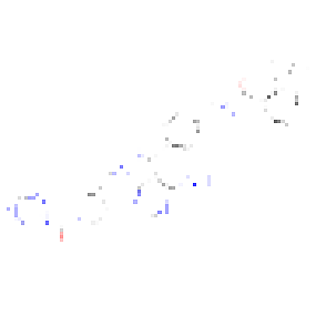 COc1ccc(F)cc1C(=O)NCc1ccc(-c2nn(C(C)C3CCN(C(=O)n4cncn4)C3)c3ncnc(N)c23)cc1